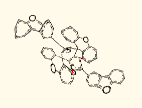 c1ccc2c(c1)Oc1ccccc1C21c2cc(-c3ccc4oc5ccccc5c4c3)sc2C2(c3ccccc3Oc3ccccc32)c2cc(-c3ccc4oc5ccccc5c4c3)sc21